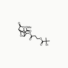 CCC(C)(C)C(=O)OCCC(=O)OC1C2OC(=O)C3C2OC1C3C(=O)OC